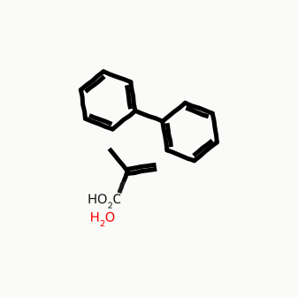 C=C(C)C(=O)O.O.c1ccc(-c2ccccc2)cc1